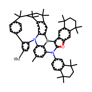 Cc1cc2c3c(c1)N(c1ccc4c(c1)C(C)(C)CCC4(C)C)c1oc4cc5c(cc4c1B3c1cc3c4cc1N2c1ccc(C(C)(C)C)cc1-c1ccc(cc1)C(C)(C)C(CC3(C)C)C4(C)C)C(C)(C)CCC5(C)C